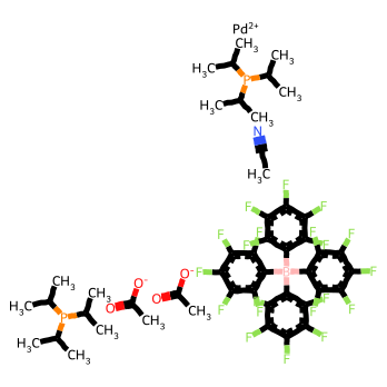 CC#N.CC(=O)[O-].CC(=O)[O-].CC(C)P(C(C)C)C(C)C.CC(C)P(C(C)C)C(C)C.Fc1c(F)c(F)c([B-](c2c(F)c(F)c(F)c(F)c2F)(c2c(F)c(F)c(F)c(F)c2F)c2c(F)c(F)c(F)c(F)c2F)c(F)c1F.[Pd+2]